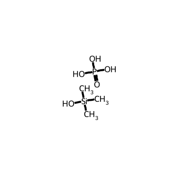 C[Si](C)(C)O.O=P(O)(O)O